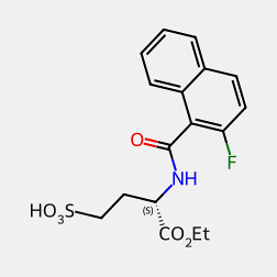 CCOC(=O)[C@H](CCS(=O)(=O)O)NC(=O)c1c(F)ccc2ccccc12